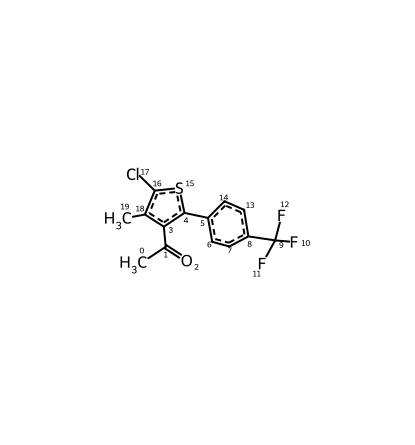 CC(=O)c1c(-c2ccc(C(F)(F)F)cc2)sc(Cl)c1C